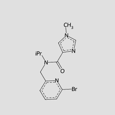 CC(C)N(Cc1cccc(Br)n1)C(=O)c1cn(C)cn1